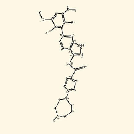 COc1cc(OC)c(F)c(-c2ccc3c(NC(=O)c4ccc(N5CCCN(C)CC5)cc4)n[nH]c3c2)c1F